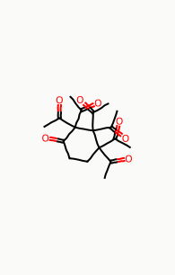 CC(=O)C1(C(C)=O)CCC(=O)C(C(C)=O)(C(C)=O)C1(C(C)=O)C(C)=O